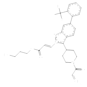 C=CC(=O)N1CCC(c2c3ccc(-c4ccccc4C(F)(F)F)cc3nn2C=CC(=O)OCCCC)CC1